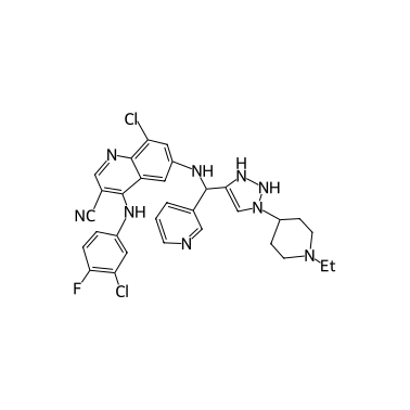 CCN1CCC(N2C=C(C(Nc3cc(Cl)c4ncc(C#N)c(Nc5ccc(F)c(Cl)c5)c4c3)c3cccnc3)NN2)CC1